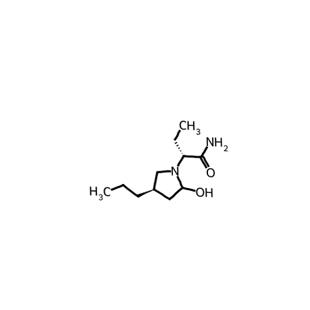 CCC[C@@H]1CC(O)N([C@H](CC)C(N)=O)C1